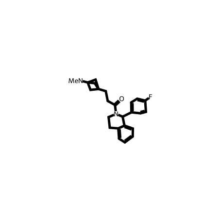 CNC12CC(CCC(=O)N3CCc4ccccc4C3c3ccc(F)cc3)(C1)C2